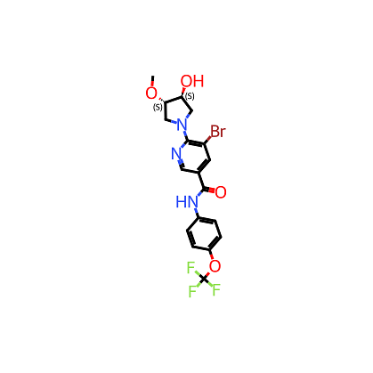 CO[C@H]1CN(c2ncc(C(=O)Nc3ccc(OC(F)(F)F)cc3)cc2Br)C[C@@H]1O